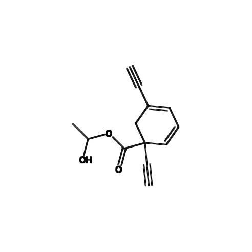 C#CC1=CC=CC(C#C)(C(=O)OC(C)O)C1